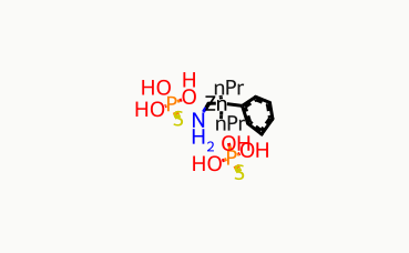 CC[CH2][Zn]([CH2]N)([CH2]CC)[c]1ccccc1.OP(O)(O)=S.OP(O)(O)=S